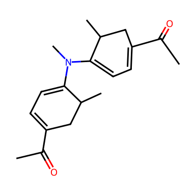 CC(=O)C1=CC=C(N(C)C2=CC=C(C(C)=O)CC2C)C(C)C1